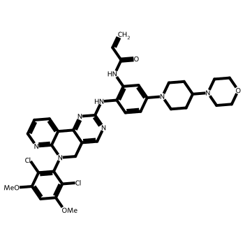 C=CC(=O)Nc1cc(N2CCC(N3CCOCC3)CC2)ccc1Nc1ncc2c(n1)-c1cccnc1N(c1c(Cl)c(OC)cc(OC)c1Cl)C2